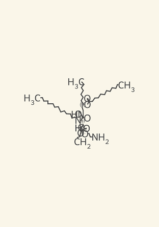 C=CCOP(=O)(OCCN)OC[C@H](NC(=O)CCCCCCCCCCCCC)C(=O)NCC[C@@H](CCCCCCC)OC(=O)CCCCCCCCCCC